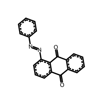 O=C1c2ccccc2C(=O)c2c(/N=N/c3ccccc3)cccc21